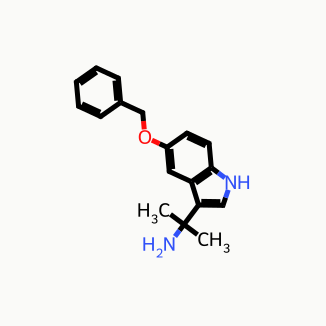 CC(C)(N)c1c[nH]c2ccc(OCc3ccccc3)cc12